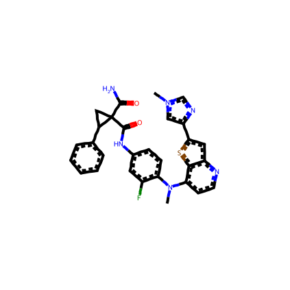 CN(c1ccc(NC(=O)C2(C(N)=O)CC2c2ccccc2)cc1F)c1ccnc2cc(-c3cn(C)cn3)sc12